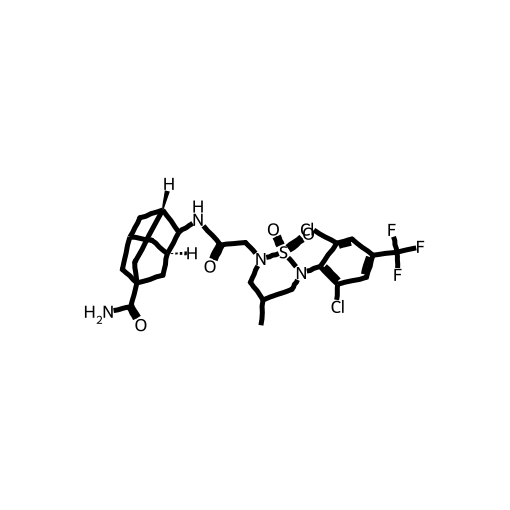 CC1CN(CC(=O)NC2[C@@H]3CC4C[C@H]2CC(C(N)=O)(C4)C3)S(=O)(=O)N(c2c(Cl)cc(C(F)(F)F)cc2Cl)C1